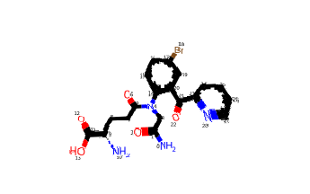 NC(=O)CN(C(=O)CC[C@H](N)C(=O)O)c1ccc(Br)cc1C(=O)c1ccccn1